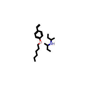 C=Cc1ccc(OCCCCCC)cc1.CCC(C)NC(C)CC